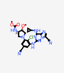 COC(=O)N[C@@H]1CN(c2cc(C#N)cc(Nc3nc(NC4CC4)c4ncc(C#N)n4n3)c2Cl)C[C@@H]1OC